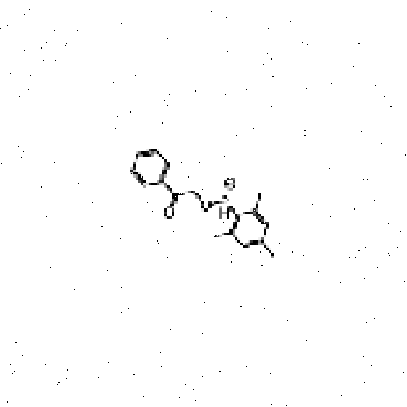 Cc1cc(C)c([PH](=O)OCC(=O)c2ccccc2)c(C)c1